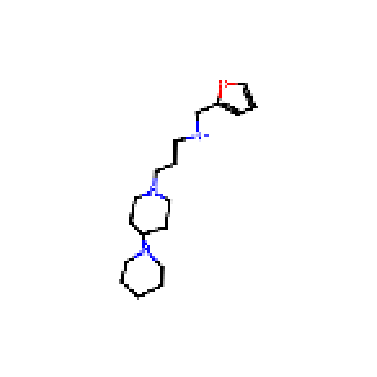 c1coc(CNCCCN2CCC(N3CCCCC3)CC2)c1